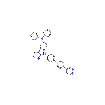 c1ccc(N(c2ccccc2)c2ccc3c(c2)c2cccnc2n3-c2ccc(-c3ccc(-c4ccnnc4)cc3)cc2)cc1